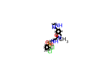 CN(Cc1ccc(C2=NCCN2)cc1)C(=O)CCNCS(=O)(=O)c1cccc(Cl)c1Cl